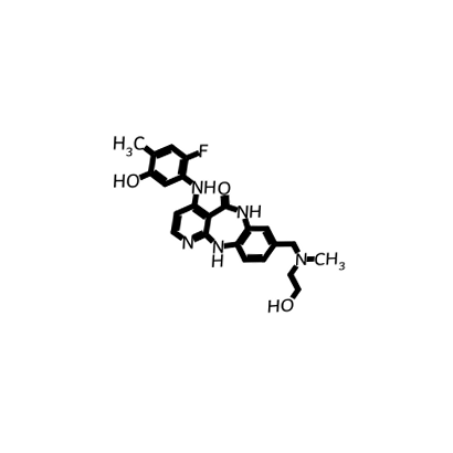 Cc1cc(F)c(Nc2ccnc3c2C(=O)Nc2cc(CN(C)CCO)ccc2N3)cc1O